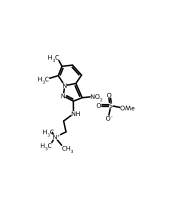 COS(=O)(=O)[O-].Cc1ccc2c([N+](=O)[O-])c(NCC[N+](C)(C)C)nn2c1C